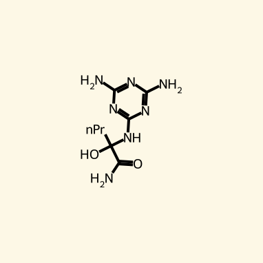 CCCC(O)(Nc1nc(N)nc(N)n1)C(N)=O